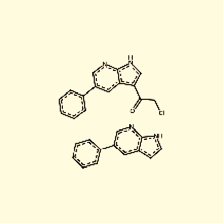 O=C(CCl)c1c[nH]c2ncc(-c3ccccc3)cc12.c1ccc(-c2cnc3[nH]ccc3c2)cc1